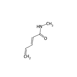 C=CC=CC(=O)NC